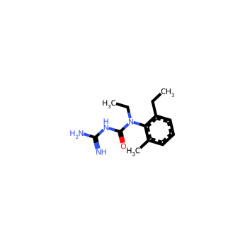 CCc1cccc(C)c1N(CC)C(=O)NC(=N)N